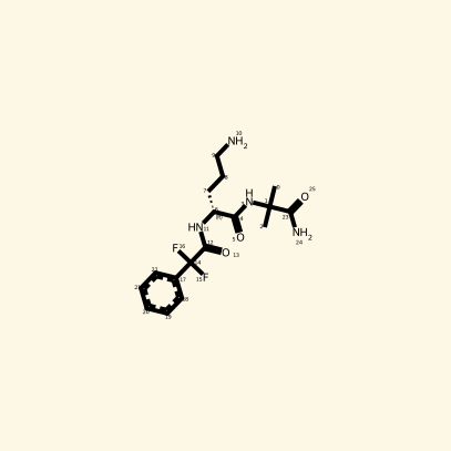 CC(C)(NC(=O)[C@@H](CCCN)NC(=O)C(F)(F)c1ccccc1)C(N)=O